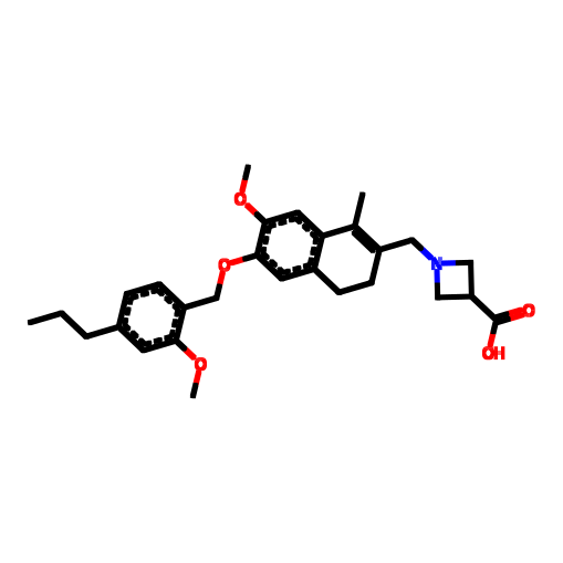 CCCc1ccc(COc2cc3c(cc2OC)C(C)=C(CN2CC(C(=O)O)C2)CC3)c(OC)c1